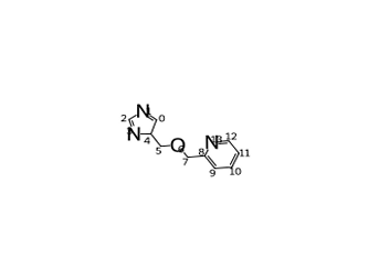 C1=NC=NC1COCc1ccccn1